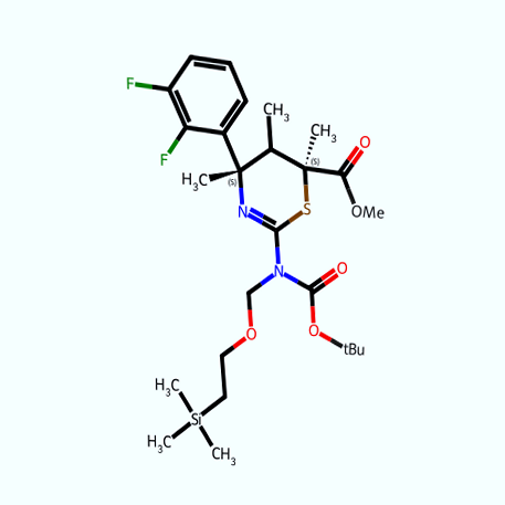 COC(=O)[C@@]1(C)SC(N(COCC[Si](C)(C)C)C(=O)OC(C)(C)C)=N[C@](C)(c2cccc(F)c2F)C1C